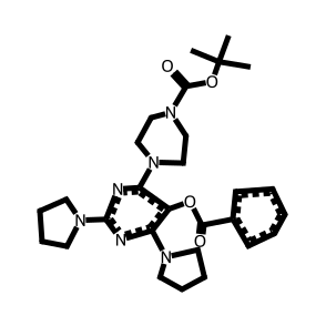 CC(C)(C)OC(=O)N1CCN(c2nc(N3CCCC3)nc(N3CCCC3)c2OC(=O)c2ccccc2)CC1